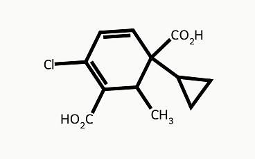 CC1C(C(=O)O)=C(Cl)C=CC1(C(=O)O)C1CC1